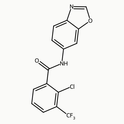 O=C(Nc1ccc2ncoc2c1)c1cccc(C(F)(F)F)c1Cl